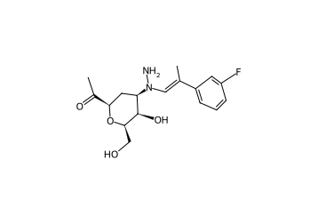 CC(=O)[C@H]1C[C@@H](N(N)/C=C(\C)c2cccc(F)c2)[C@@H](O)[C@@H](CO)O1